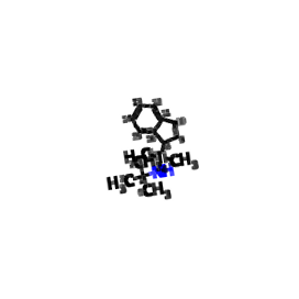 CC(C)(C)[NH][Ti]([CH3])([CH3])[CH]1C=Cc2ccccc21